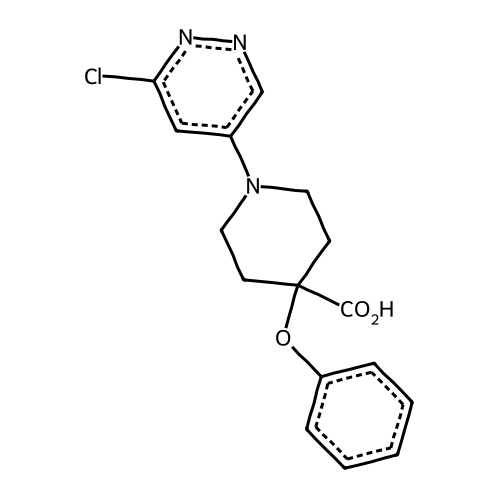 O=C(O)C1(Oc2ccccc2)CCN(c2cnnc(Cl)c2)CC1